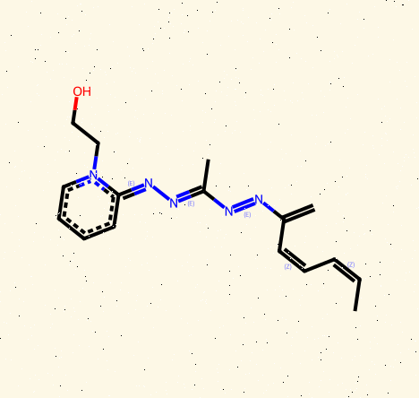 C=C(/C=C\C=C/C)/N=N/C(C)=N/N=c1\ccccn1CCO